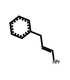 CCCC=[C]Cc1ccccc1